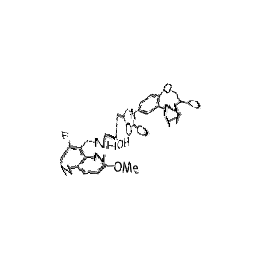 COc1ccc2ncc(F)c(CNCC(O)CC3CN(c4ccc5c(c4)NC(=O)CO5)C(=O)O3)c2n1